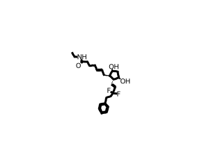 CCNC(=O)CCC/C=C/C[C@@H]1[C@@H](/C=C/C(F)(F)CCc2ccccc2)[C@H](O)C[C@@H]1O